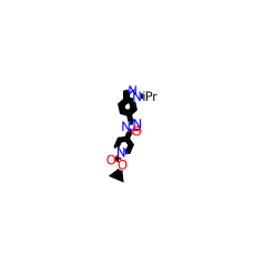 CC(C)n1ncc2ccc(-c3noc(C4CCN(C(=O)OC5CC5)CC4)n3)cc21